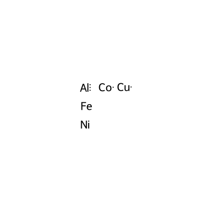 [Al].[Co].[Cu].[Fe].[Ni]